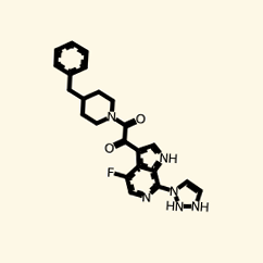 O=C(C(=O)N1CCC(Cc2ccccc2)CC1)c1c[nH]c2c(N3C=CNN3)ncc(F)c12